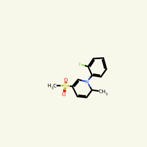 CC1C=CC(S(C)(=O)=O)=CN1c1ccccc1F